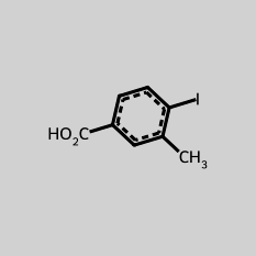 Cc1cc(C(=O)O)ccc1I